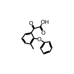 Cc1cccc(C(=O)C(=O)O)c1Oc1ccccc1